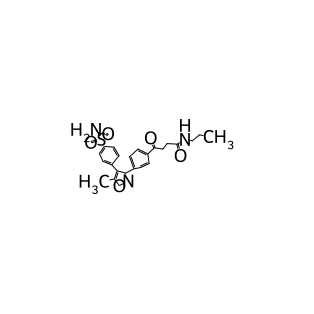 CCCNC(=O)CCC(=O)c1ccc(-c2noc(C)c2-c2ccc(S(N)(=O)=O)cc2)cc1